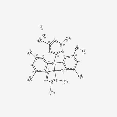 CC1=C(C)[C]([Ti+3])([Si](c2cc(C)cc(C)c2)(c2cc(C)cc(C)c2)c2cc(C)cc(C)c2)C=C1.[Cl-].[Cl-].[Cl-]